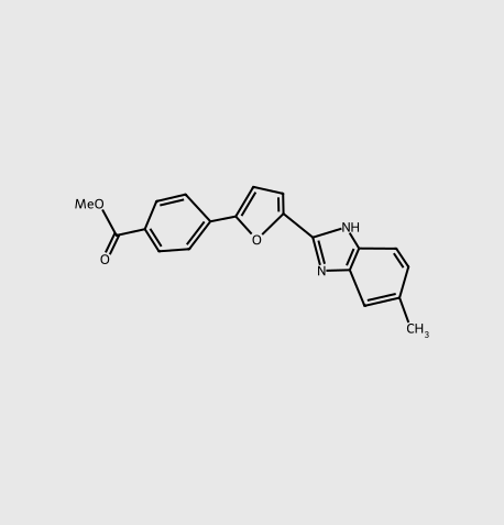 COC(=O)c1ccc(-c2ccc(-c3nc4cc(C)ccc4[nH]3)o2)cc1